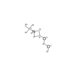 COCOC1CN(C(C)(C)C)C1